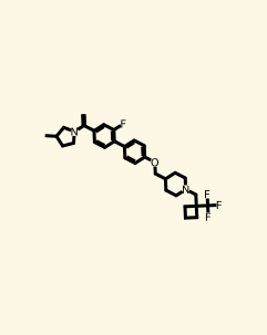 C=C(c1ccc(-c2ccc(OCC3CCN(CC4(C(F)(F)F)CCC4)CC3)cc2)c(F)c1)N1CCC(C)C1